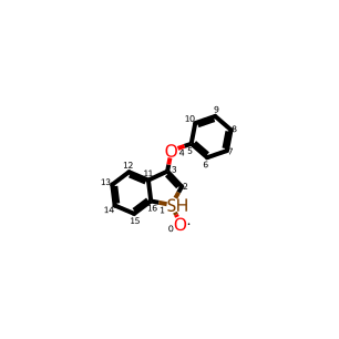 [O][SH]1C=C(Oc2ccccc2)c2ccccc21